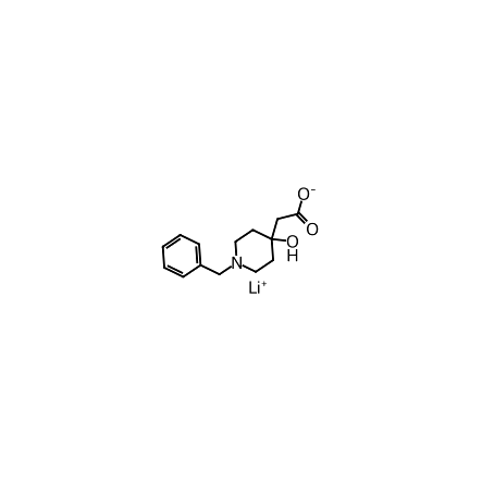 O=C([O-])CC1(O)CCN(Cc2ccccc2)CC1.[Li+]